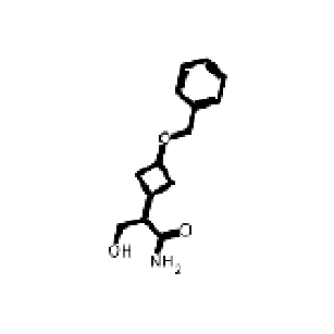 NC(=O)C(CO)C1CC(OCc2ccccc2)C1